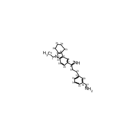 CCn1c2c(c3cc(C(=N)CCc4cccc(CN)c4)ccc31)CCCC2